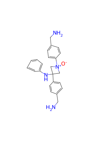 NCc1ccc(C2(Nc3ccccc3)C[N+]([O-])(c3ccc(CN)cc3)C2)cc1